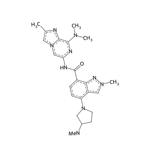 CNC1CCN(c2ccc(C(=O)Nc3cn4cc(C)nc4c(N(C)C)n3)c3nn(C)cc23)C1